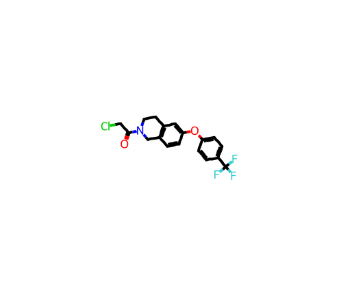 O=C(CCl)N1CCc2cc(Oc3ccc(C(F)(F)F)cc3)ccc2C1